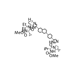 CCC(CC)N(C(=O)[C@@H](NC(=O)OC)C1CC1)[C@@H](C)c1ncc(-c2ccc3cc(-c4ccc(-c5cnc([C@@H]6CC7(CC7)CN6C(=O)[C@@H](NC(=O)OC)C(C)C)[nH]5)cc4)ccc3c2)[nH]1